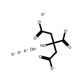 O=C([O-])CC(O)(CC(=O)[O-])C(=O)[O-].[K+].[K+].[K+].[K+].[OH-]